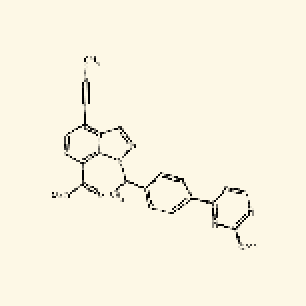 CC#Cc1ccc(C(=O)OC)c2c1cnn2C(C)c1ccc(-c2ccnc(OC)n2)cc1